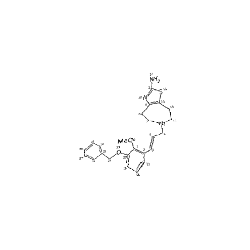 COc1c(C=CCN2CCc3nc(N)sc3CC2)cccc1OCc1ccccc1